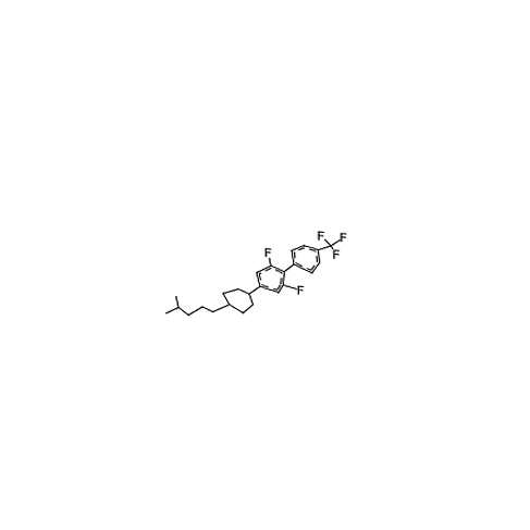 CC(C)CCCC1CCC(c2cc(F)c(-c3ccc(C(F)(F)F)cc3)c(F)c2)CC1